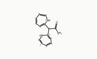 NC(=O)C(C1=CC=CC=CN1)C1=CC=CC=CN1